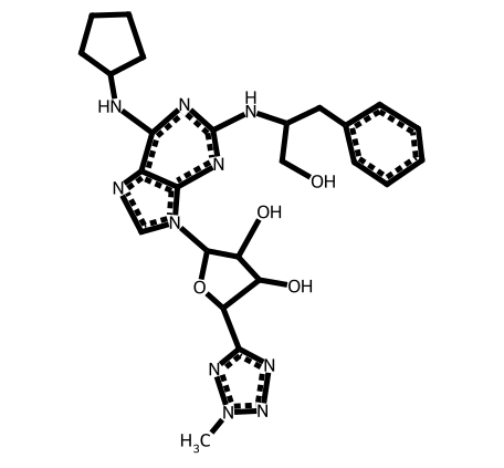 Cn1nnc(C2OC(n3cnc4c(NC5CCCC5)nc(NC(CO)Cc5ccccc5)nc43)C(O)C2O)n1